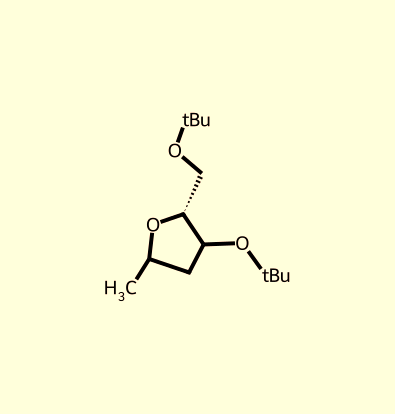 CC1CC(OC(C)(C)C)[C@@H](COC(C)(C)C)O1